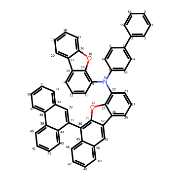 c1ccc(-c2ccc(N(c3cccc4c3oc3ccccc34)c3cccc4c3oc3c(-c5cc6ccccc6c6ccccc56)c5ccccc5cc34)cc2)cc1